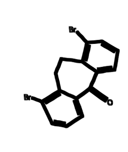 O=C1c2cccc(Br)c2CCc2c(Br)cccc21